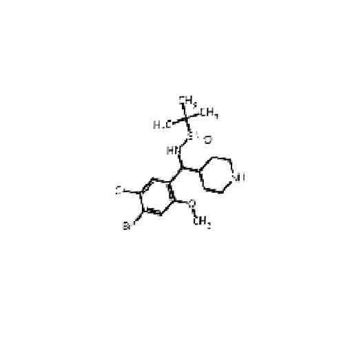 COc1cc(Br)c(Cl)cc1C(N[S@@+]([O-])C(C)(C)C)C1CCNCC1